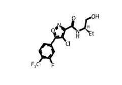 CC[C@H](CO)NC(=O)c1noc(-c2ccc(C(F)(F)F)c(F)c2)c1Cl